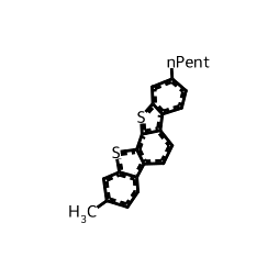 CCCCCc1ccc2c(c1)sc1c2ccc2c3ccc(C)cc3sc21